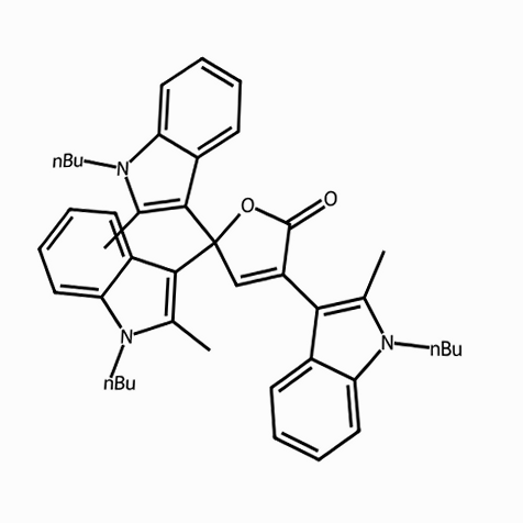 CCCCn1c(C)c(C2=CC(c3c(C)n(CCCC)c4ccccc34)(c3c(C)n(CCCC)c4ccccc34)OC2=O)c2ccccc21